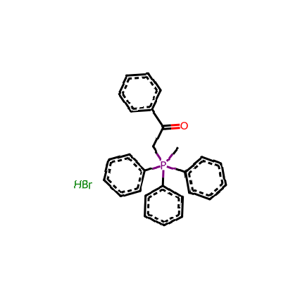 Br.CP(CC(=O)c1ccccc1)(c1ccccc1)(c1ccccc1)c1ccccc1